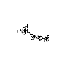 CC(C)S(=O)(=O)NCCCCC(=O)NCc1ccc(-c2csnn2)cc1